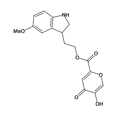 COc1ccc2c(c1)C(CCOC(=O)c1cc(=O)c(O)co1)CN2